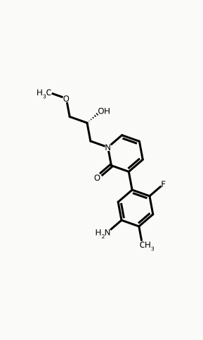 COC[C@H](O)Cn1cccc(-c2cc(N)c(C)cc2F)c1=O